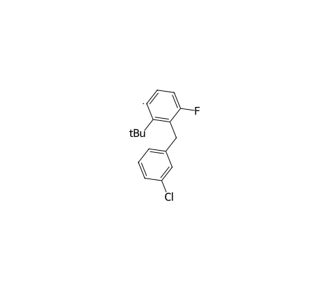 CC(C)(C)c1[c]ccc(F)c1Cc1cccc(Cl)c1